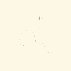 CCC(C)C[C]1CCCCC1CC(C)CC